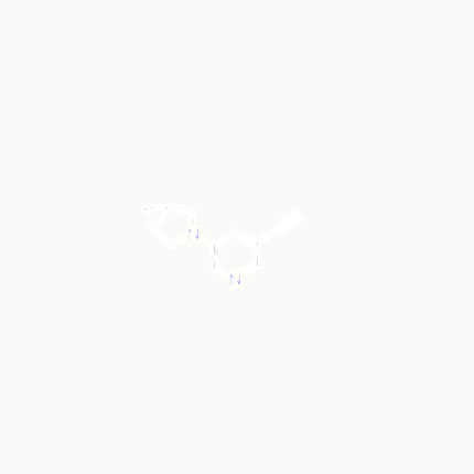 C#Cc1cncc(N2CC3CC3C2)c1